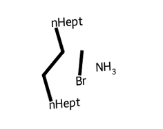 CBr.CCCCCCCCCCCCCCCC.N